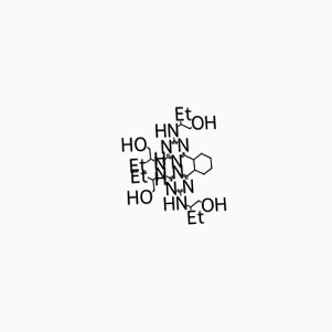 CCC(CO)Nc1nc(NC(CC)CO)nc(C2CCCCC2c2nc(NC(CC)CO)nc(NC(CC)CO)n2)n1